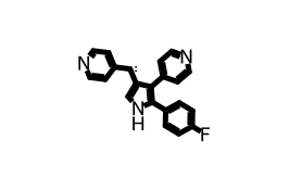 Fc1ccc(-c2[nH]cc([C]c3ccncc3)c2-c2ccncc2)cc1